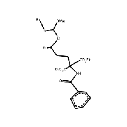 CCOC(=O)C(CC[C@@H](CC)OC(OC)OCC)(NC(=O)c1ccccc1)C(=O)OCC